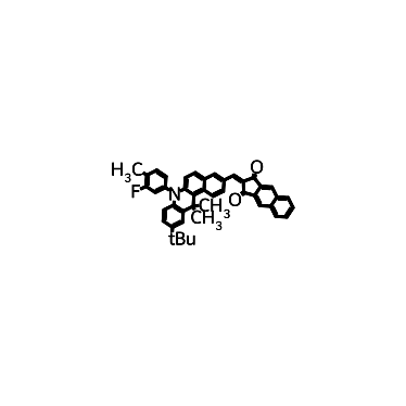 Cc1ccc(N2c3ccc(C(C)(C)C)cc3C(C)(C)c3c2ccc2cc(C=C4C(=O)c5cc6ccccc6cc5C4=O)ccc32)cc1F